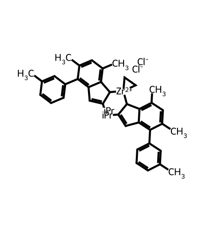 Cc1cccc(-c2c(C)cc(C)c3c2C=C(C(C)C)[CH]3[Zr+2]2([CH]3C(C(C)C)=Cc4c(-c5cccc(C)c5)c(C)cc(C)c43)[CH2][CH2]2)c1.[Cl-].[Cl-]